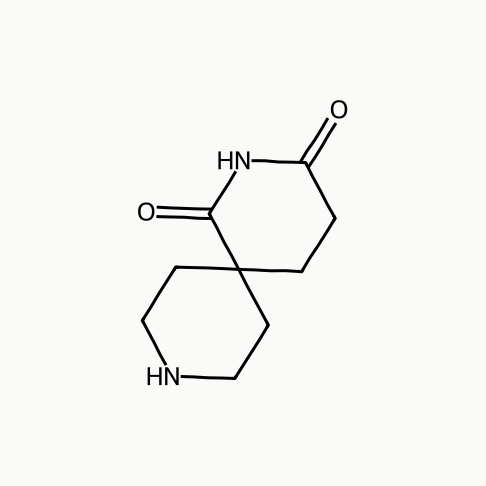 O=C1CCC2(CCNCC2)C(=O)N1